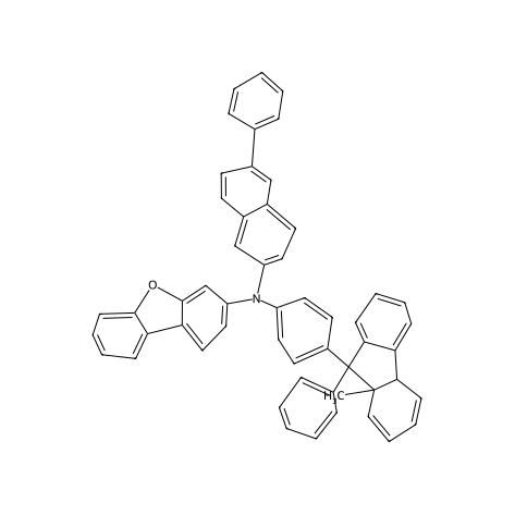 CC12C=CC=CC1c1ccccc1C2(c1ccccc1)c1ccc(N(c2ccc3cc(-c4ccccc4)ccc3c2)c2ccc3c(c2)oc2ccccc23)cc1